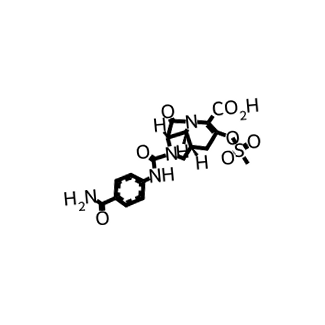 CS(=O)(=O)OC1=C(C(=O)O)N2C(=O)[C@@H]3[C@H]2[C@H](C1)CN3C(=O)Nc1ccc(C(N)=O)cc1